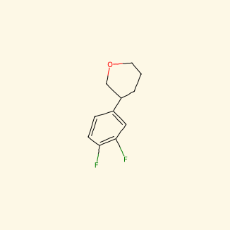 Fc1ccc(C2CCCOC2)cc1F